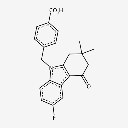 CC1(C)CC(=O)c2c(n(Cc3ccc(C(=O)O)cc3)c3ccc(F)cc23)C1